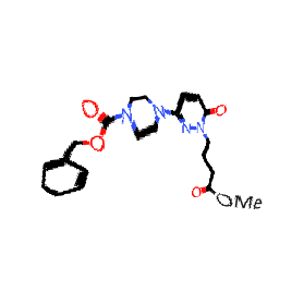 COC(=O)CCCn1nc(N2CCN(C(=O)OCc3ccccc3)CC2)ccc1=O